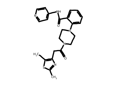 Cc1nc(CC(=O)N2CCN(c3ccccc3C(=O)Nc3ccncc3)CC2)c(C)s1